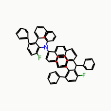 Fc1ccc(-c2ccccc2)c(-c2ccccc2)c1C(c1ccccc1)c1ccc2ccc3c(N(c4ccccc4)c4c(F)ccc(-c5ccccc5)c4-c4ccccc4)ccc4ccc1c2c43